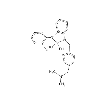 CN(C)Cc1ccc(CN2c3ccccc3N(c3ccccc3F)S2(O)O)cc1